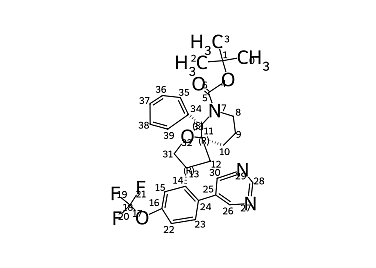 CC(C)(C)OC(=O)N1CCC[C@@]2(C[C@H](c3cc(OC(F)(F)F)ccc3-c3cncnc3)CO2)[C@@H]1c1ccccc1